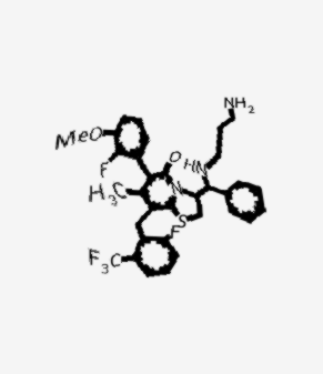 COc1cccc(-c2c(C)c(Cc3c(F)cccc3C(F)(F)F)c3n(c2=O)C(C(NCCCN)c2ccccc2)CS3)c1F